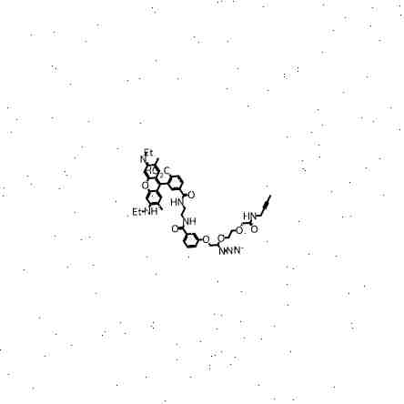 CC#CCNC(=O)COCCOC(COc1cccc(C(=O)NCCNC(=O)c2ccc(C(=O)O)c(-c3c4cc(C)/c(=N\CC)cc-4oc4cc(NCC)c(C)cc34)c2)c1)N=[N+]=[N-]